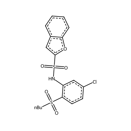 CCCCS(=O)(=O)c1ccc(Cl)cc1NS(=O)(=O)c1cc2ccccc2o1